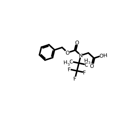 CC(C)(N(CC(=O)O)C(=O)OCc1ccccc1)C(F)(F)F